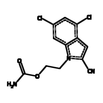 N#Cc1cc2c(Cl)cc(Cl)cc2n1CCOC(N)=O